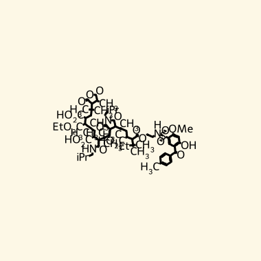 CCOC(=O)C(C(CC(C)(C)C1C(=O)OC(=O)C1C)C(=O)O)C(C)(C)CC(C(=O)O)C(C(=O)NCC(C)C)C(C)(C)CC1C(=O)N(CC(C)C)C(=O)C1C(C)(C)CC(C(=O)O)C(C(=O)OCCNS(=O)(=O)c1cc(C(=O)c2ccc(C)cc2)c(O)cc1OC)C(C)(C)CC